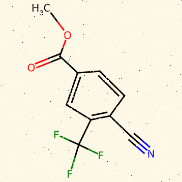 COC(=O)c1ccc(C#N)c(C(F)(F)F)c1